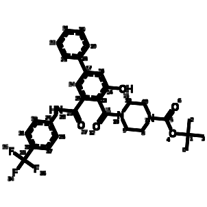 CC(C)(C)OC(=O)N1CCN(C(=O)c2c(O)cc(-c3ccccc3)cc2C(=O)Nc2ccc(C(F)(F)F)cc2)CC1